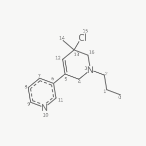 CCCN1CC(c2cccnc2)=CC(C)(Cl)C1